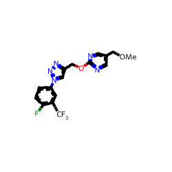 COCc1cnc(OCc2cn(-c3ccc(F)c(C(F)(F)F)c3)nn2)nc1